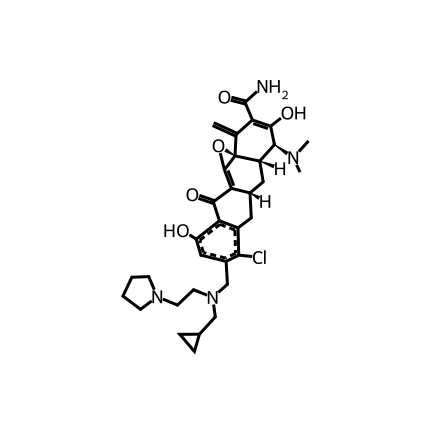 C=C1C(C(N)=O)=C(O)[C@@H](N(C)C)[C@@H]2C[C@@H]3Cc4c(Cl)c(CN(CCN5CCCC5)CC5CC5)cc(O)c4C(=O)C3=C3O[C@]132